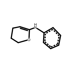 C1=C(Nc2ccccc2)OCCC1